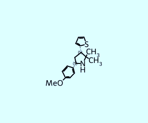 COc1ccc([C@@H]2C[C@H](c3cccs3)C(C)(C)N2)cc1